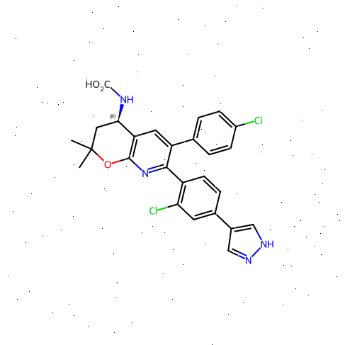 CC1(C)C[C@@H](NC(=O)O)c2cc(-c3ccc(Cl)cc3)c(-c3ccc(-c4cn[nH]c4)cc3Cl)nc2O1